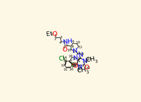 CCOCCCNC(=O)C1CCCN(c2nc3c(c(=O)n(C)c(=O)n3C)n2Cc2c(F)cccc2Cl)C1